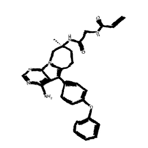 C=CC(=O)NCC(=O)N[C@@]1(C)CCc2c(-c3ccc(Oc4ccccc4)cc3)c3c(N)ncnc3n2C1